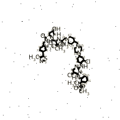 Cc1ncsc1-c1ccc(CNC(=O)[C@@H]2C[C@@H](O)CN2C(=O)[C@@H](NC(=O)CN2CCC(CN3CCN(c4ccc(Nc5ncc(Cl)c(Nc6ccccc6N(C)S(C)(=O)=O)n5)c(Cl)c4)CC3)CC2)C(C)(C)C)cc1